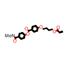 C=CC(=O)OCCCCOc1ccc(C(=O)Oc2ccc(C(=O)NC)cc2)cc1